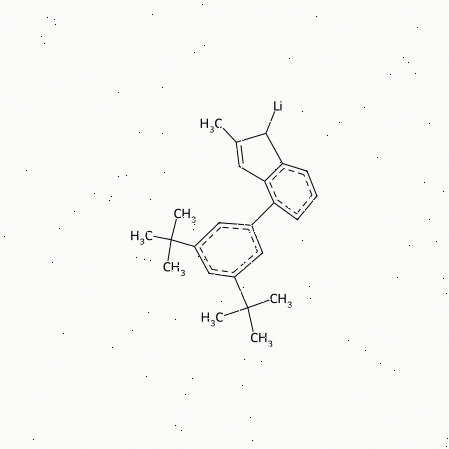 [Li][CH]1C(C)=Cc2c(-c3cc(C(C)(C)C)cc(C(C)(C)C)c3)cccc21